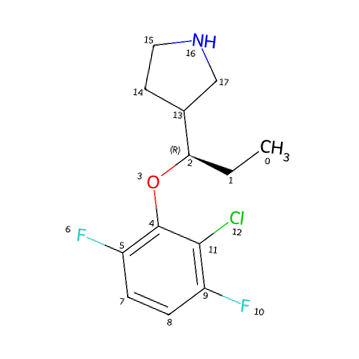 CC[C@@H](Oc1c(F)ccc(F)c1Cl)C1CCNC1